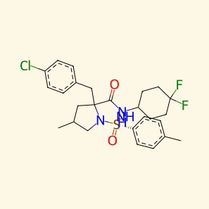 Cc1ccc([S@](=N)(=O)N2CC(C)CC2(Cc2ccc(Cl)cc2)C(=O)NC2CCC(F)(F)CC2)cc1